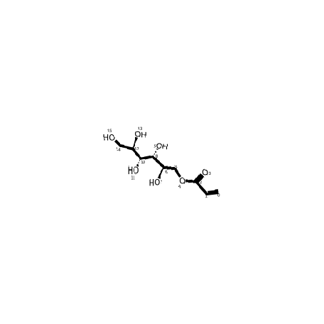 C=CC(=O)OC[C@@H](O)[C@@H](O)[C@H](O)[C@H](O)CO